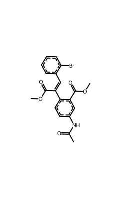 COC(=O)C(=Cc1ccccc1Br)c1ccc(NC(C)=O)cc1C(=O)OC